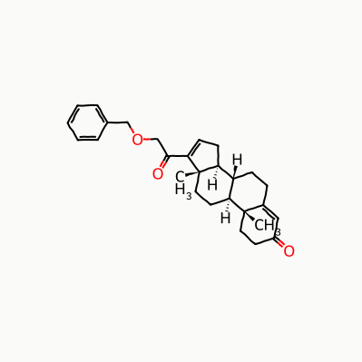 C[C@]12CCC(=O)C=C1CC[C@@H]1[C@@H]2CC[C@]2(C)C(C(=O)COCc3ccccc3)=CC[C@@H]12